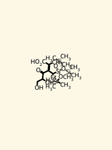 CCC(/C(C(=O)C(O)CO)=C(\C)C(=O)O)[Si](O[Si](C)(C)C)(O[Si](C)(C)C)O[Si](C)(C)C